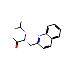 CC(S)N[C@@H](Cc1ccc2ccccc2n1)C(=O)C(C)C